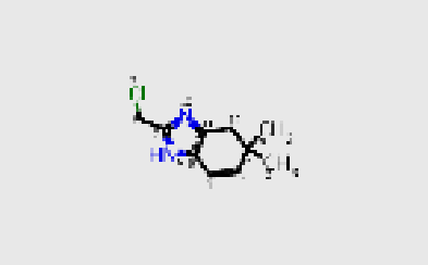 CC1(C)C=Cc2[nH]c(CCl)nc2C1